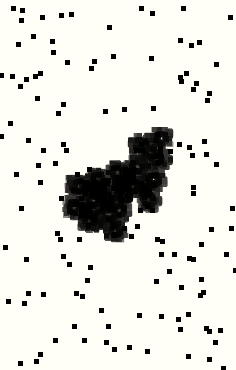 c1ccc(-c2c3ccccc3c(-c3ccc(N4c5ccccc5B5c6cc7c(cc6Oc6cc(N(c8ccccc8)c8ccccc8)cc4c65)N(c4c5ccccc5c(-c5ccccc5)c5ccccc45)c4cc(N(c5ccccc5)c5ccccc5)cc5c4B7c4ccccc4N5c4ccccc4)cc3)c3ccccc23)cc1